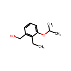 CCc1c([CH]O)cccc1OC(C)C